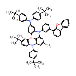 Cc1cc2c3c(c1)N(c1cccc(-c4cccc5c4oc4ccccc45)c1)c1cc(N(c4ccc(C(C)(C)C)cc4)c4ccc(C(C)(C)C)cc4)ccc1B3c1cc(C(C)(C)C)ccc1N2c1ccc(C(C)(C)C)cc1